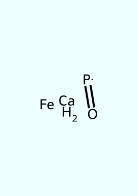 O=[P].[CaH2].[Fe]